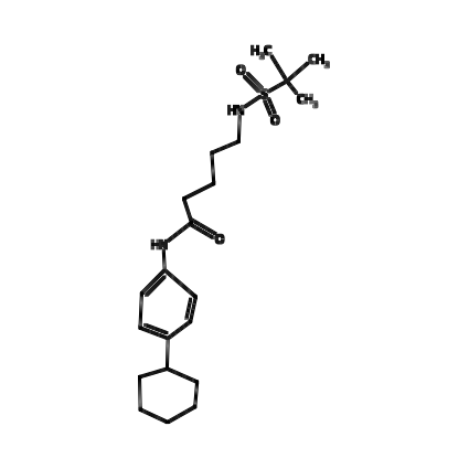 CC(C)(C)S(=O)(=O)NCCCCC(=O)Nc1ccc(C2CCCCC2)cc1